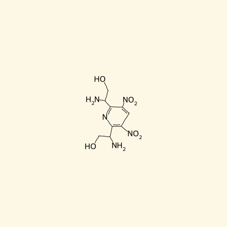 NC(CO)c1nc(C(N)CO)c([N+](=O)[O-])cc1[N+](=O)[O-]